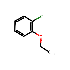 CCOc1ccc[c]c1Cl